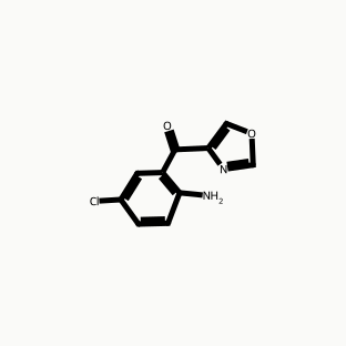 Nc1ccc(Cl)cc1C(=O)c1cocn1